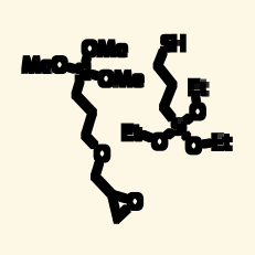 CCO[Si](CCCS)(OCC)OCC.CO[Si](CCCOCC1CO1)(OC)OC